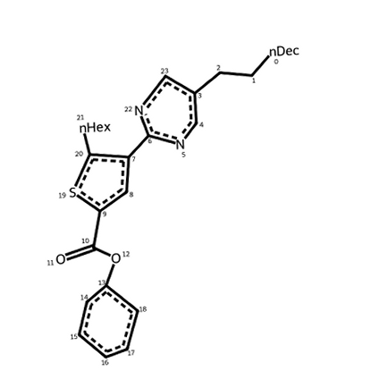 CCCCCCCCCCCCc1cnc(-c2cc(C(=O)Oc3ccccc3)sc2CCCCCC)nc1